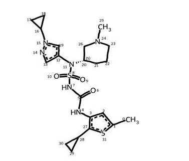 Cc1cc(NC(=O)NS(=O)(=O)N(c2cnn(C3CC3)c2)[C@H]2CCCN(C)C2)c(C2CC2)s1